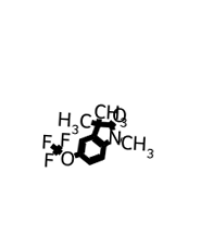 CN1C(=O)C(C)(C)c2cc(OC(F)(F)F)ccc21